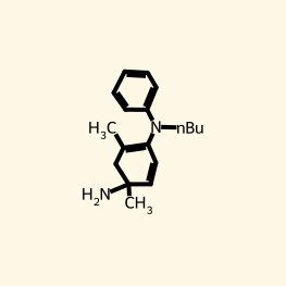 CCCCN(C1=C(C)CC(C)(N)C=C1)c1ccccc1